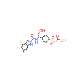 Cc1cc2c(cc(C(=O)NC(CO)c3ccc(S(=O)(=O)CC(=O)O)cc3)n2C)c(F)c1F